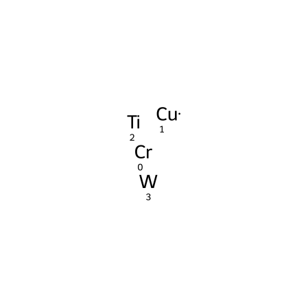 [Cr].[Cu].[Ti].[W]